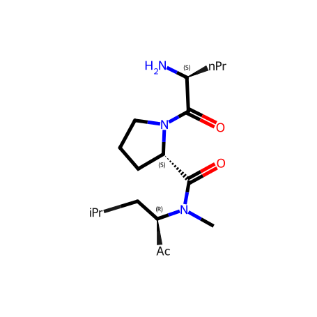 CCC[C@H](N)C(=O)N1CCC[C@H]1C(=O)N(C)[C@H](CC(C)C)C(C)=O